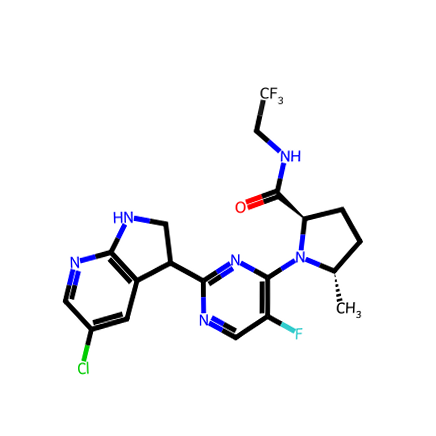 C[C@H]1CC[C@H](C(=O)NCC(F)(F)F)N1c1nc(C2CNc3ncc(Cl)cc32)ncc1F